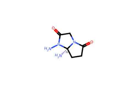 NN1C(=O)CN2C(=O)CC[C@@]12N